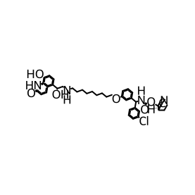 O=C(NC(c1cccc(Cl)c1)c1cccc(OCCCCCCCCCNC[C@@H](O)c2ccc(O)c3[nH]c(=O)ccc23)c1)O[C@H]1CN2CCC1CC2